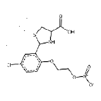 O=C(O)C1CSC(c2cc(Cl)ccc2OCCO[N+](=O)[O-])N1